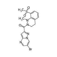 CN1c2c(cccc2S(C)(=O)=O)CCN1C(=O)c1cc2ncc(Br)cn2n1